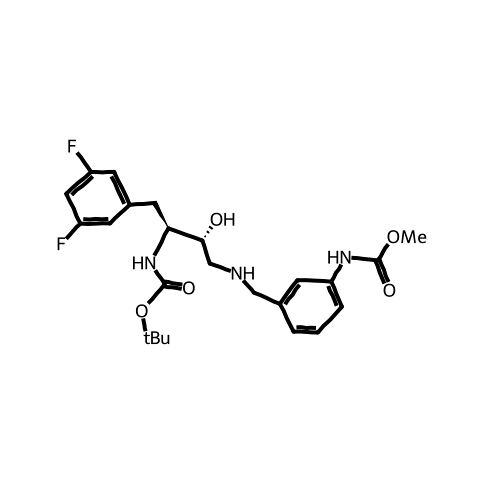 COC(=O)Nc1cccc(CNC[C@@H](O)[C@H](Cc2cc(F)cc(F)c2)NC(=O)OC(C)(C)C)c1